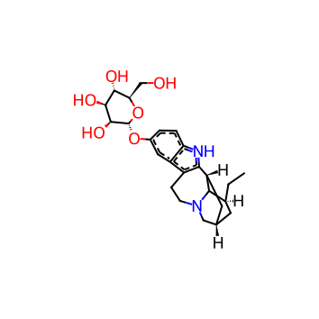 CC[C@H]1C[C@H]2C[C@H]3c4[nH]c5ccc(O[C@H]6O[C@H](CO)[C@@H](O)[C@H](O)[C@@H]6O)cc5c4CCN(C2)C13